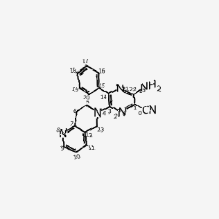 N#Cc1nc(N2CCc3ncccc3C2)c(-c2ccccc2)nc1N